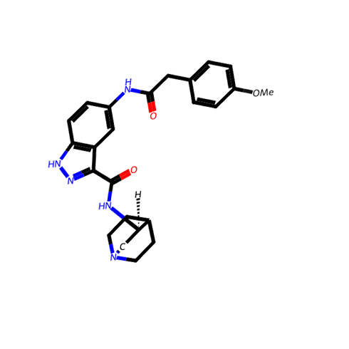 COc1ccc(CC(=O)Nc2ccc3[nH]nc(C(=O)N[C@@H]4CN5CCC4CC5)c3c2)cc1